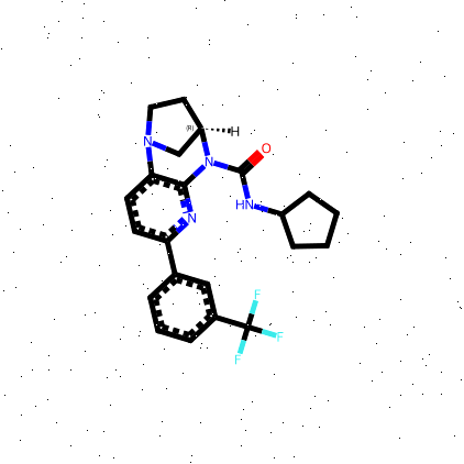 O=C(NC1CCCC1)N1c2nc(-c3cccc(C(F)(F)F)c3)ccc2N2CC[C@@H]1C2